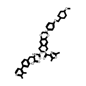 COC1CCC(COc2ccc([C@H]3COc4cc5c(cc4O3)CN(C(=O)c3nc(C)oc3C)[C@H](C(=O)NC(Cc3ccc(-c4ccnc(C)c4C)cc3)C(=O)O)C5)cc2)CC1